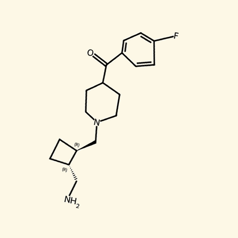 NC[C@@H]1CC[C@H]1CN1CCC(C(=O)c2ccc(F)cc2)CC1